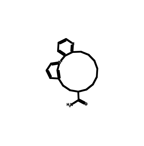 NC(=O)C1CCCCCCCc2ncccc2-[n+]2cccc(c2)CC1